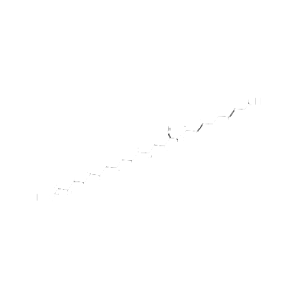 CCC=CCCC=CCOC(=O)CCCCCCCCCCCCCCC